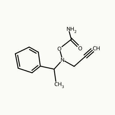 C#CCN(OC(N)=O)C(C)c1ccccc1